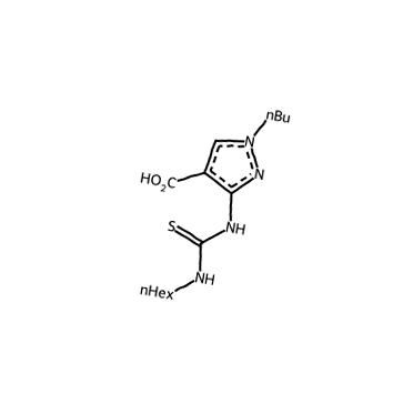 CCCCCCNC(=S)Nc1nn(CCCC)cc1C(=O)O